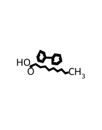 CCCCCCCCCC(=O)O.c1ccc(-c2ccccc2)cc1